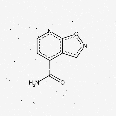 NC(=O)c1ccnc2oncc12